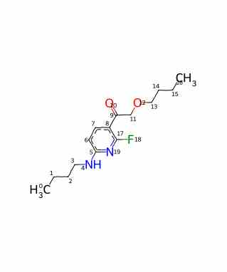 CCCCNc1ccc(C(=O)COCCCC)c(F)n1